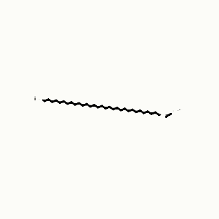 CCCCCCCCCCCC(=O)OCCCCCCCCCCCCCCCCCCCCCCCCCCCCCCCC(C)CC